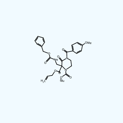 C=CCOC(=O)C1(CNC(=O)OCc2ccccc2)C(=O)N(C(=O)c2ccc(OC)cc2)CCN1C(=O)OC(C)(C)C